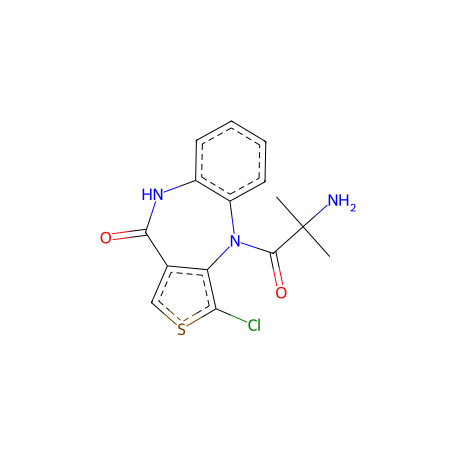 CC(C)(N)C(=O)N1c2ccccc2NC(=O)c2csc(Cl)c21